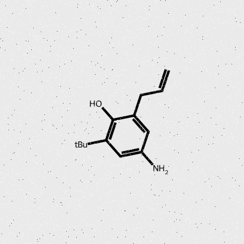 C=CCc1cc(N)cc(C(C)(C)C)c1O